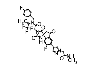 CNC(=O)Cn1cc(-c2cc3c(cc2F)C2(CC3=O)NC(=O)N(CC(=O)N(Cc3ccc(F)cc3)[C@@H](C)C(F)(F)F)C2=O)cn1